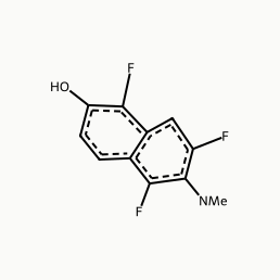 CNc1c(F)cc2c(F)c(O)ccc2c1F